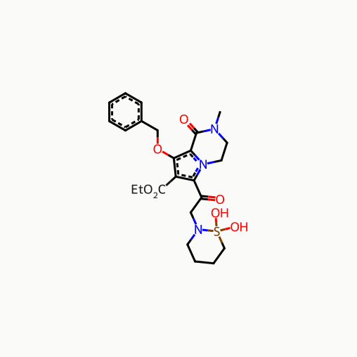 CCOC(=O)c1c(OCc2ccccc2)c2n(c1C(=O)CN1CCCCS1(O)O)CCN(C)C2=O